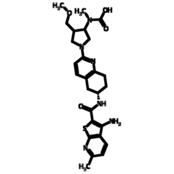 COCC1CN(c2ccc3c(n2)CC[C@H](NC(=O)c2sc4nc(C)ccc4c2N)C3)CC1N(C)C(=O)O